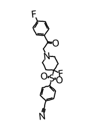 N#Cc1ccc(S(=O)(=O)C2(F)CCN(CC(=O)c3ccc(F)cc3)CC2)cc1